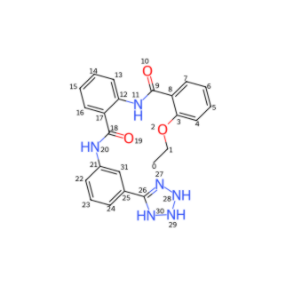 CCOc1ccccc1C(=O)Nc1ccccc1C(=O)Nc1cccc(C2=NNNN2)c1